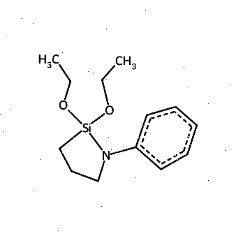 CCO[Si]1(OCC)CCCN1c1ccccc1